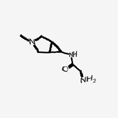 CN1CC2C(C1)C2NC(=O)CN